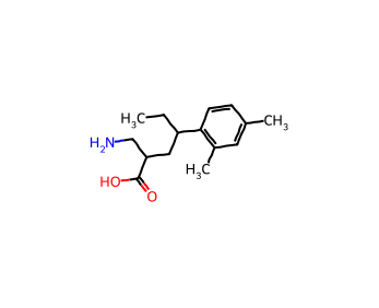 CCC(CC(CN)C(=O)O)c1ccc(C)cc1C